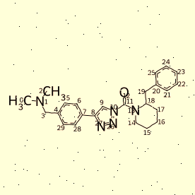 CN(C)Cc1ccc(-c2cn(C(=O)N3CCCCC3Cc3ccccc3)nn2)cc1